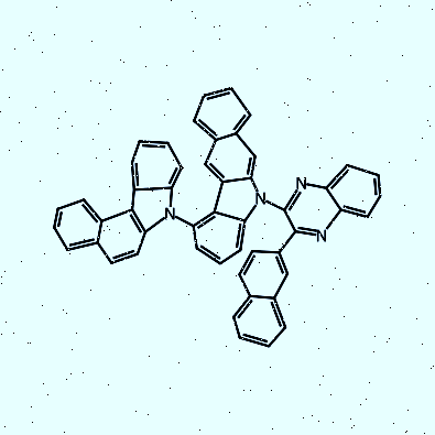 c1ccc2cc(-c3nc4ccccc4nc3-n3c4cc5ccccc5cc4c4c(-n5c6ccccc6c6c7ccccc7ccc65)cccc43)ccc2c1